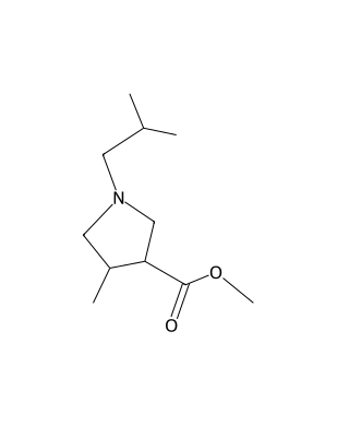 COC(=O)C1CN(CC(C)C)CC1C